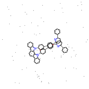 c1ccc(-c2cccc(-c3ccc(-c4ccc(-n5c6ccccc6c6ccc7c8ccccc8n(-c8ccc(-c9ccc(-c%10cccc(-c%11ccccc%11)n%10)cc9)cc8)c7c65)cc4)cc3)n2)cc1